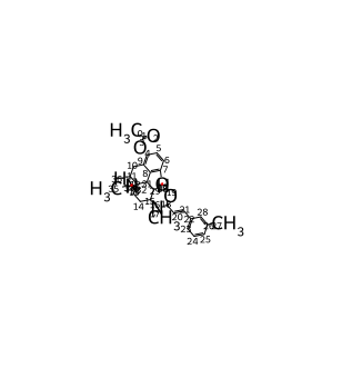 CC(=O)Oc1ccc2c3c1C[C@@H]1[C@@H]4CC[C@@H](N(C)C(=O)C=Cc5cccc(C)c5)[C@H](O2)[C@]34CCN1C